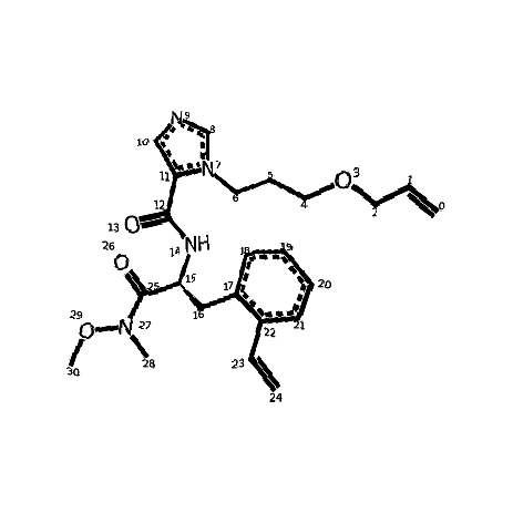 C=CCOCCCn1cncc1C(=O)N[C@@H](Cc1ccccc1C=C)C(=O)N(C)OC